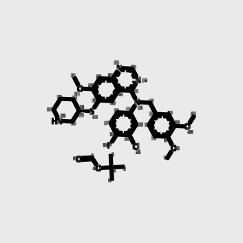 CC(C)(C)OC=O.COc1ccc(CN(c2ccc(F)c(Cl)c2)c2ncnc3cc(OC)c(S[C@@H]4CCCNC4)cc23)cc1OC